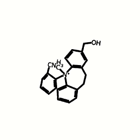 C[N+]1(c2ccccc2C#N)c2ccccc2CCc2cc(CO)ccc21